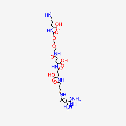 CNCCCCC(NC(=O)COCCOCCNC(=O)CCC(NC(=O)CCC(NC(=O)CCCSNCC(C)(C)CC(C)(C)/C(=N/N)NN)C(=O)O)C(=O)O)C(=O)O